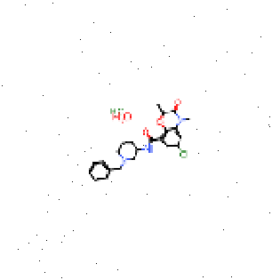 CC1Oc2c(C(=O)NC3CCCN(Cc4ccccc4)C3)cc(Cl)cc2N(C)C1=O.Cl.O